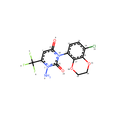 Nn1c(C(F)(F)F)cc(=O)n(-c2ccc(Cl)c3c2OCCO3)c1=O